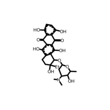 CCC1(O)CCc2c(O)c3c(c(O)c2C1OC1CC(N(C)C)C(O)C(C)O1)C(=O)c1c(O)ccc(O)c1C3=O